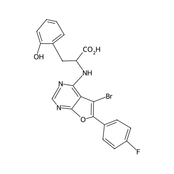 O=C(O)C(Cc1ccccc1O)Nc1ncnc2oc(-c3ccc(F)cc3)c(Br)c12